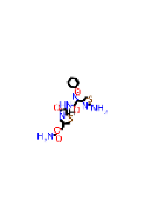 NC(=O)OCC1=CN2C(=O)C(NC(=O)C(=NOC3C=CCCC3)c3csc(N)n3)[C@@H]2SC1